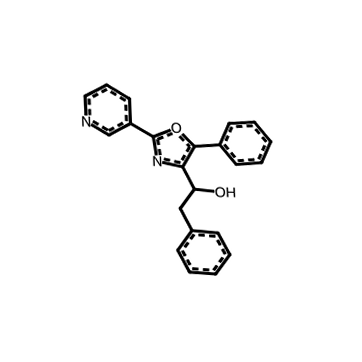 OC(Cc1ccccc1)c1nc(-c2cccnc2)oc1-c1ccccc1